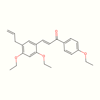 C=CCc1cc(C=CC(=O)c2ccc(OCC)cc2)c(OCC)cc1OCC